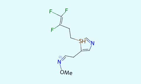 CO/N=C\CC1=CN=C[SH]1CCC(F)=C(F)F